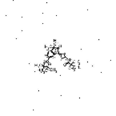 CC(C)(C)C(=O)N[C@H]1C[C@@H](N2C(=O)C(C)(C)c3ccc(B4OC(C)(C)C(C)(C)O4)cc32)C1